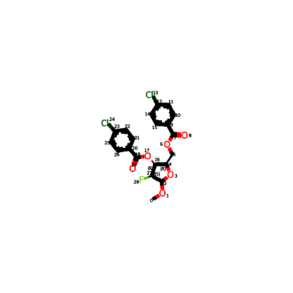 COC1O[C@H](COC(=O)c2ccc(Cl)cc2)[C@@H](OC(=O)c2ccc(Cl)cc2)[C@@H]1F